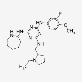 CCN1CCCC1CNc1nc(Nc2ccc(OC)c(F)c2)nc(NC2CCCCCN2)n1